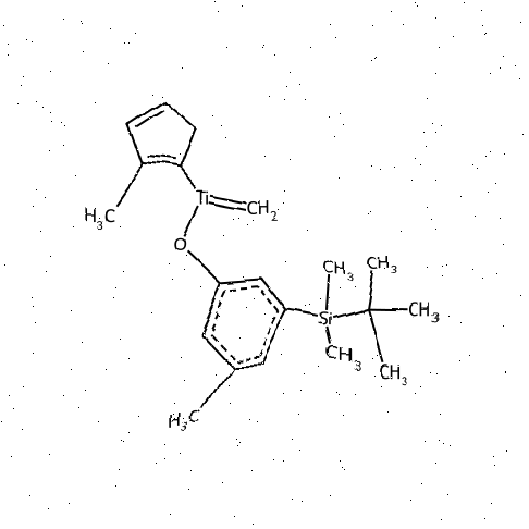 [CH2]=[Ti]([O]c1cc(C)cc([Si](C)(C)C(C)(C)C)c1)[C]1=C(C)C=CC1